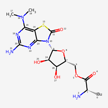 CCC(C)[C@H](N)C(=O)OC[C@H]1O[C@@H](n2c(=O)sc3c(N(C)C)nc(N)nc32)[C@H](O)[C@@H]1O